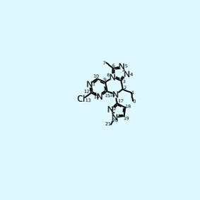 CCC1c2nnc(C)n2-c2cnc(Cl)nc2N1c1ccn(C)n1